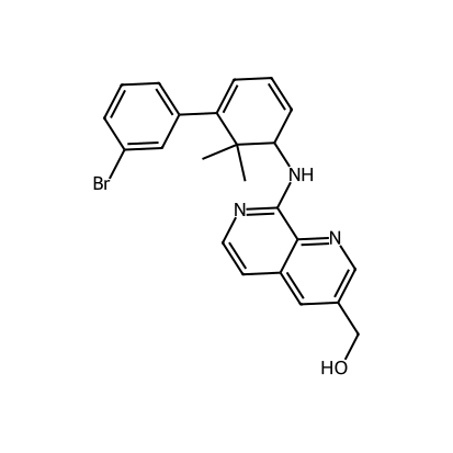 CC1(C)C(c2cccc(Br)c2)=CC=CC1Nc1nccc2cc(CO)cnc12